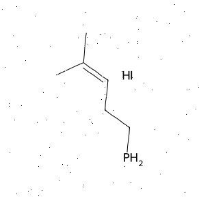 CC(C)=CCCP.I